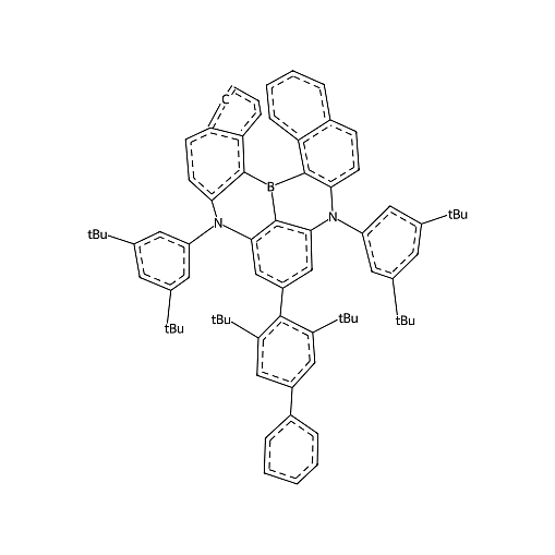 CC(C)(C)c1cc(N2c3cc(-c4c(C(C)(C)C)cc(-c5ccccc5)cc4C(C)(C)C)cc4c3B(c3c2ccc2ccccc32)c2c(ccc3ccccc23)N4c2cc(C(C)(C)C)cc(C(C)(C)C)c2)cc(C(C)(C)C)c1